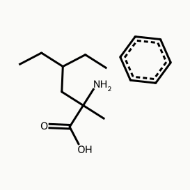 CCC(CC)CC(C)(N)C(=O)O.c1ccccc1